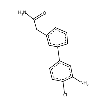 NC(=O)Cc1cccc(-c2ccc(Cl)c(N)c2)c1